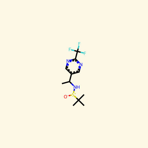 CC(N[S+]([O-])C(C)(C)C)c1cnc(C(F)(F)F)nc1